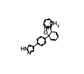 CNC1C=CC=CC1(Oc1ccccc1)c1ccc(-c2cn[nH]c2)cc1